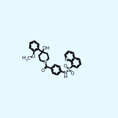 COc1ccccc1C1(O)CCN(C(=O)c2ccc(NS(=O)(=O)c3cccc4cccnc34)cc2)CC1